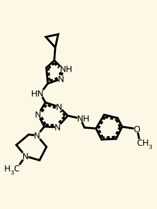 COc1ccc(CNc2nc(Nc3cc(C4CC4)[nH]n3)nc(N3CCN(C)CC3)n2)cc1